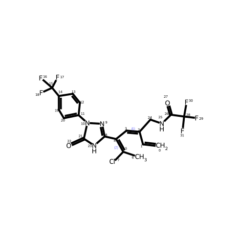 C=C/C(=C\C(=C(/C)Cl)c1nn(-c2ccc(C(F)(F)F)cc2)c(=O)[nH]1)CNC(=O)C(F)(F)F